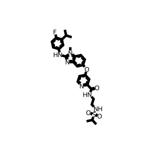 CC(C)c1cc(Nc2nc3cc(Oc4ccnc(C(=O)NCCNS(=O)(=O)C(C)C)c4)ccc3n2C)ccc1F